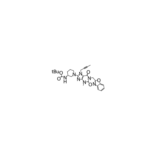 CC#CCn1c(N2CCCC(NC(=O)OC(C)(C)C)C2)nc2c1c(=O)n(Cc1nc3ccccc3o1)c(=O)n2C